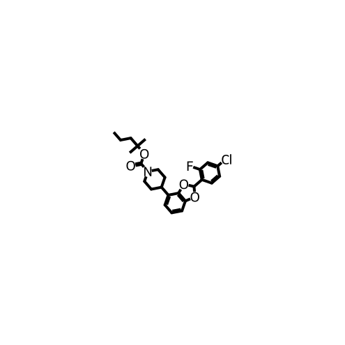 CCCC(C)(C)OC(=O)N1CCC(c2cccc3c2OC(c2ccc(Cl)cc2F)O3)CC1